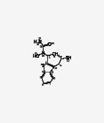 CC(c1sc2ccccc2c1CCS)N(O)C(N)=O